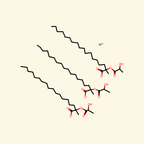 CCCCCCCCCCCCCCCCC(C)(OC(=O)C(C)O)C(=O)[O-].CCCCCCCCCCCCCCCCC(C)(OC(=O)C(C)O)C(=O)[O-].CCCCCCCCCCCCCCCCC(C)(OC(=O)C(C)O)C(=O)[O-].[Al+3]